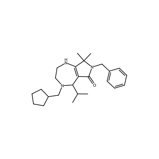 CC(C)C1C2=C(NCCN1CC1CCCC1)C(C)(C)N(Cc1ccccc1)C2=O